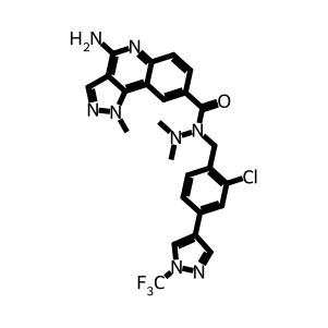 CN(C)N(Cc1ccc(-c2cnn(C(F)(F)F)c2)cc1Cl)C(=O)c1ccc2nc(N)c3cnn(C)c3c2c1